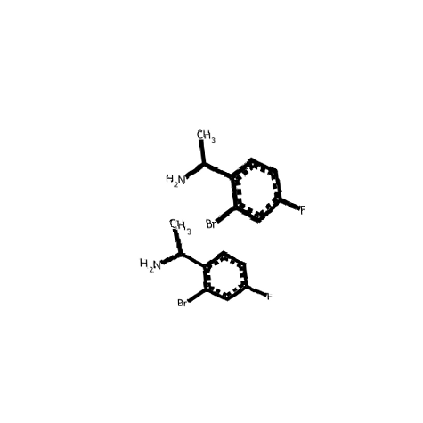 CC(N)c1ccc(F)cc1Br.CC(N)c1ccc(F)cc1Br